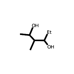 CCC(O)C(C)C(C)O